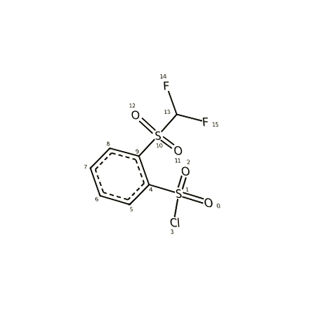 O=S(=O)(Cl)c1ccccc1S(=O)(=O)C(F)F